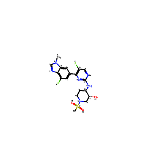 CC(C)(C)n1cnc2c(F)cc(-c3nc(N[C@@H]4CCN(S(C)(=O)=O)C[C@H]4O)ncc3F)cc21